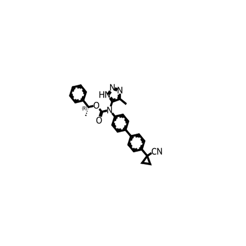 Cc1nn[nH]c1N(C(=O)O[C@H](C)c1ccccc1)c1ccc(-c2ccc(C3(C#N)CC3)cc2)cc1